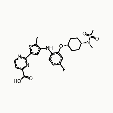 Cc1sc(-c2nccc(C(=O)O)n2)cc1Nc1ccc(F)cc1O[C@H]1CC[C@H](N(C)S(C)(=O)=O)CC1